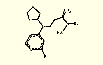 C=C(CCN(c1ccnc(CC)n1)C1CCCC1)N(C)CC